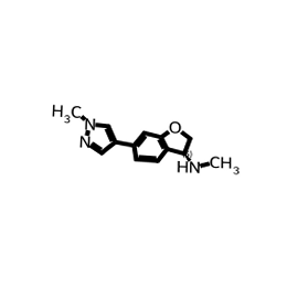 CN[C@@H]1COc2cc(-c3cnn(C)c3)ccc21